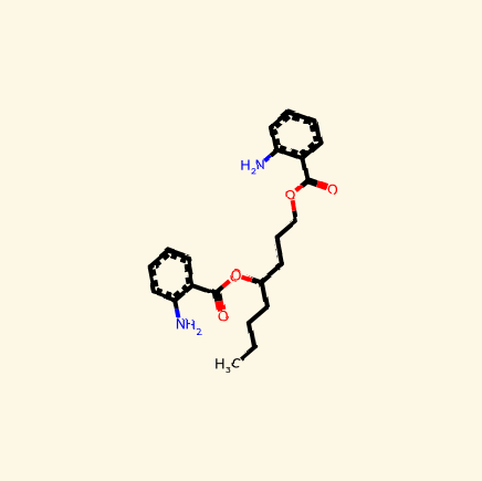 CCCCC(CCCOC(=O)c1ccccc1N)OC(=O)c1ccccc1N